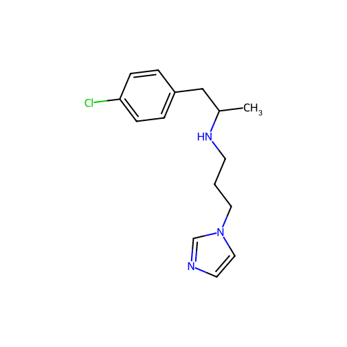 CC(Cc1ccc(Cl)cc1)NCCCn1ccnc1